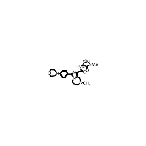 CNC(=O)[C@@H](NC(=O)c1nc(-c2ccc(N3CCOCC3)cc2)n2c1CN(C)CCC2)C(C)(C)C